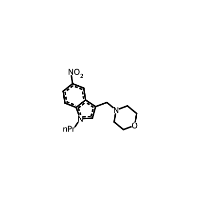 CCCn1cc(CN2CCOCC2)c2cc([N+](=O)[O-])ccc21